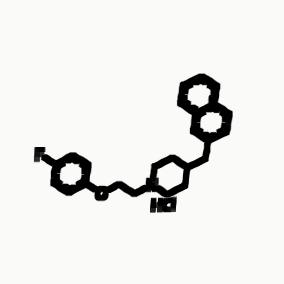 Cl.Fc1ccc(OCCN2CCC(Cc3ccc4ccccc4c3)CC2)cc1